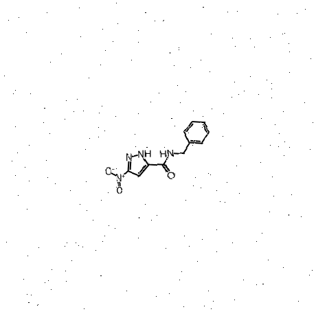 O=C(NCc1ccccc1)c1cc([N+](=O)[O-])n[nH]1